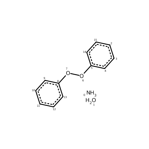 N.O.c1ccc(OOc2ccccc2)cc1